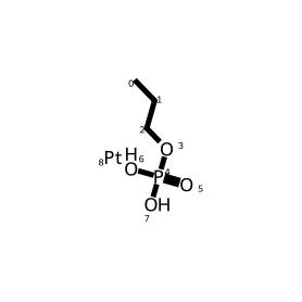 CCCOP(=O)(O)O.[Pt]